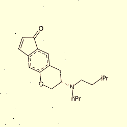 CCCN(CCC(C)C)[C@@H]1COc2cc3c(cc2C1)C(=O)C=C3